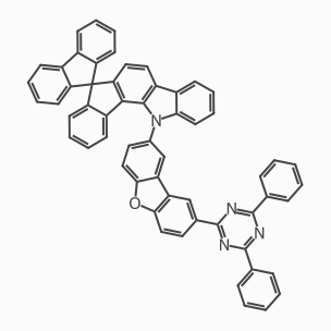 c1ccc(-c2nc(-c3ccccc3)nc(-c3ccc4oc5ccc(-n6c7ccccc7c7ccc8c(c76)-c6ccccc6C86c7ccccc7-c7ccccc76)cc5c4c3)n2)cc1